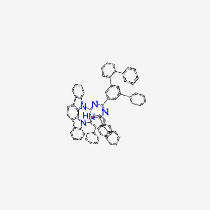 c1ccc(-c2cc(C3=NC(c4ccccc4)NC(n4c5ccccc5c5ccc6c7ccccc7n(-c7cccc(-c8ccccc8)c7-c7ccccc7)c6c54)=N3)cc(-c3ccccc3-c3ccccc3)c2)cc1